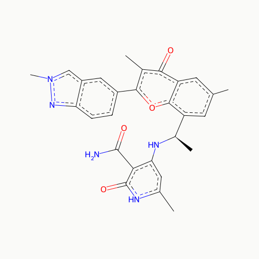 Cc1cc([C@@H](C)Nc2cc(C)[nH]c(=O)c2C(N)=O)c2oc(-c3ccc4nn(C)cc4c3)c(C)c(=O)c2c1